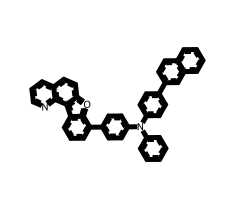 c1ccc(N(c2ccc(-c3ccc4ccccc4c3)cc2)c2ccc(-c3cccc4c3oc3ccc5cccnc5c34)cc2)cc1